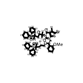 COc1ccccc1[C@H](Cn1c(=O)n(C(C)(C)C(=O)CC(C)(C)[Si](O)(c2ccccc2)c2ccccc2)c(=O)c2c(C)c(Br)sc21)OC[C@@H](C)CC(C)(C)[Si](O)(c1ccccc1)c1ccccc1